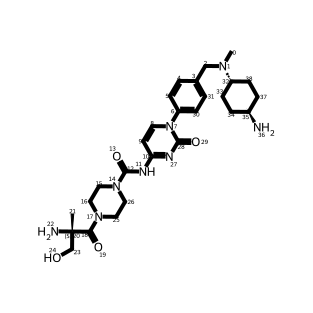 CN(Cc1ccc(-n2ccc(NC(=O)N3CCN(C(=O)[C@@](C)(N)CO)CC3)nc2=O)cc1)[C@H]1CC[C@H](N)CC1